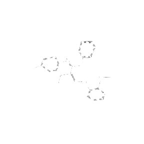 CCC(=COc1ccccc1OC)C(=Nc1ccc(C)cc1)Oc1ccccc1